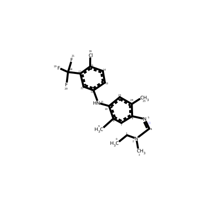 CCN(C)/C=N\c1cc(C)c(Nc2ccc(Cl)c(C(F)(F)F)c2)cc1C